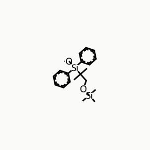 CC(C)(CO[Si](C)(C)C)[Si]([O])(c1ccccc1)c1ccccc1